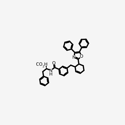 O=C(N[C@@H](Cc1ccccc1)C(=O)O)c1cccc(CC2C=CCCC2c2nc(-c3ccccc3)c(-c3ccccc3)o2)c1